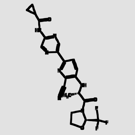 C[C@H](Nc1ccc(-c2cnc(NC(=O)C3CC3)cn2)nc1C#N)C(=O)N1CCO[C@@H]1C(F)(F)F